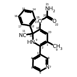 CC1=C(c2cccnc2)NC(C#N)(c2ccccc2)C(OC(N)=O)=C1